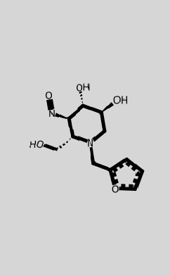 O=N[C@H]1[C@H](O)[C@@H](O)CN(Cc2ccco2)[C@@H]1CO